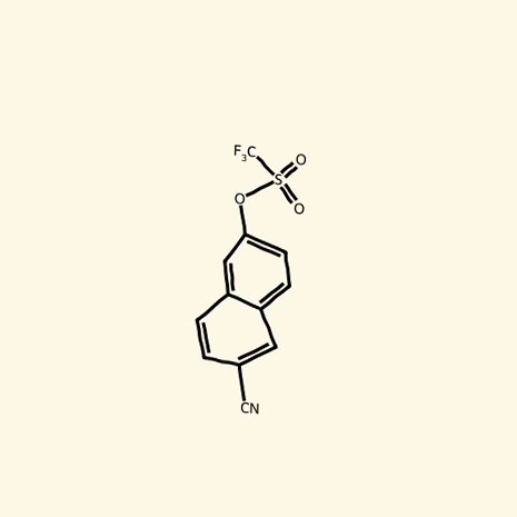 N#Cc1ccc2cc(OS(=O)(=O)C(F)(F)F)ccc2c1